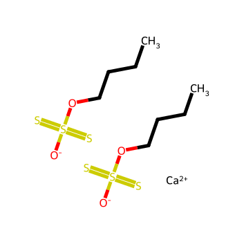 CCCCOS([O-])(=S)=S.CCCCOS([O-])(=S)=S.[Ca+2]